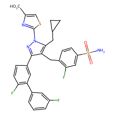 NS(=O)(=O)c1ccc(Cc2c(-c3ccc(F)c(-c4cccc(F)c4)c3)nn(-c3nc(C(=O)O)cs3)c2CC2CC2)c(F)c1